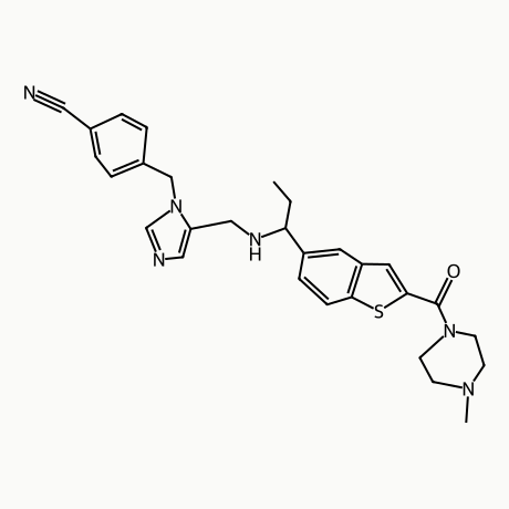 CCC(NCc1cncn1Cc1ccc(C#N)cc1)c1ccc2sc(C(=O)N3CCN(C)CC3)cc2c1